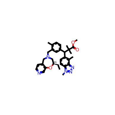 CC[C@@H]1CN(Cc2cc(C(c3ccc4c(nnn4C)c3C)C(C)(C)C(=O)OC)ccc2C)Cc2ccncc2O1